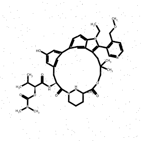 CCn1c(-c2cnccc2COC)c2c3cc(ccc31)-c1cc(O)cc(c1)C[C@H](NC(=O)[C@@H](OC(=O)N(C)C)C(C)C)C(=O)N1CCC[C@@](C)(N1)C(=O)OCC(C)(C)C2